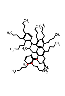 CCCCc1ccc(P(c2ccc(CCCC)c(CCCC)c2CCCC)C(C)P(c2ccc(CCCC)c(CCCC)c2CCCC)c2ccc(CCCC)c(CCCC)c2CCCC)c(CCCC)c1CCCC